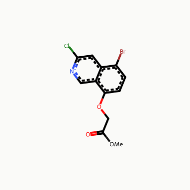 COC(=O)COc1ccc(Br)c2cc(Cl)ncc12